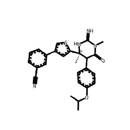 CC(C)Oc1ccc(C2C(=O)N(C)C(=N)N[C@]2(C)c2cc(-c3cccc(C#N)c3)cs2)cc1